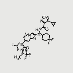 C[C@H](NC(=O)[C@@H](CC(F)F)c1cnn2cc([C@@H](NC(=O)c3nonc3C3CC3)C3CCC(F)(F)CC3)nc2c1)C(F)(F)F